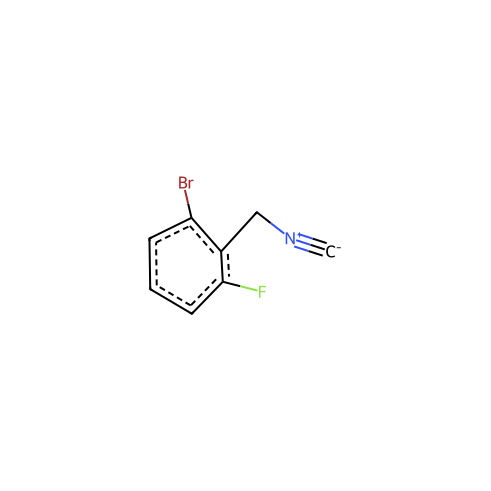 [C-]#[N+]Cc1c(F)cccc1Br